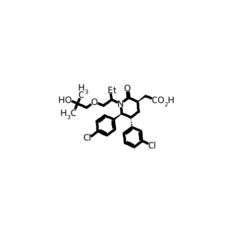 CCC(COCC(C)(C)O)N1C(=O)[C@@H](CC(=O)O)C[C@H](c2cccc(Cl)c2)[C@H]1c1ccc(Cl)cc1